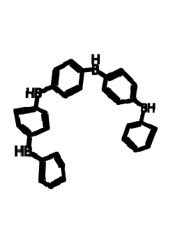 B(c1ccccc1)c1ccc(Bc2ccc(Bc3ccc(Bc4ccccc4)cc3)cc2)cc1